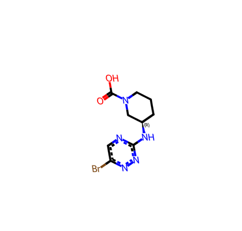 O=C(O)N1CCC[C@@H](Nc2ncc(Br)nn2)C1